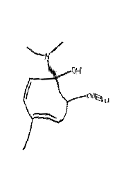 CCCCC1C=C(C)C=CC1(O)N(C)C